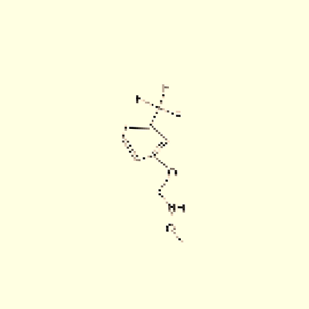 CONCOc1cccc(C(F)(F)F)c1